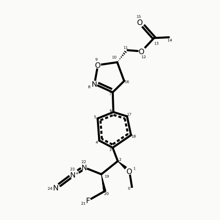 CO[C@H](c1ccc(C2=NO[C@H](COC(C)=O)C2)cc1)[C@@H](CF)N=[N+]=[N-]